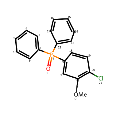 COc1cc(P(=O)(c2ccccc2)c2ccccc2)ccc1Cl